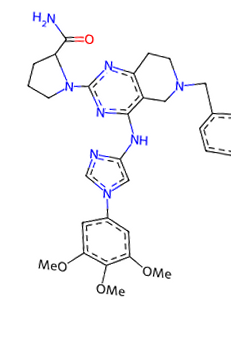 COc1cc(-n2cnc(Nc3nc(N4CCCC4C(N)=O)nc4c3CN(Cc3ccccc3)CC4)c2)cc(OC)c1OC